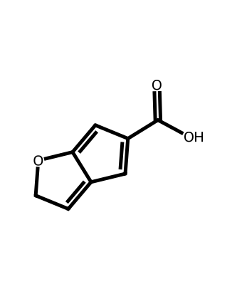 O=C(O)C1=CC2=CCOC2=C1